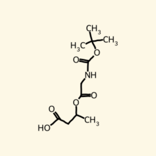 CC(CC(=O)O)OC(=O)CNC(=O)OC(C)(C)C